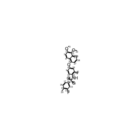 COc1ccc2c(Oc3ccc(NS(=O)(=O)c4ccc(C)c(F)c4)c(F)c3)ccnc2c1OC